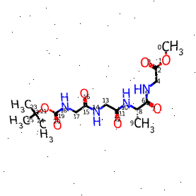 COC(=O)CNC(=O)[C@H](C)NC(=O)CNC(=O)CNC(=O)OC(C)(C)C